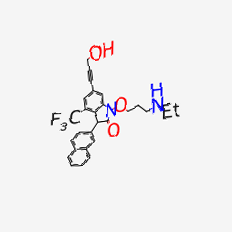 CCNCCCON1C(=O)C(c2ccc3ccccc3c2)c2c1cc(C#CCO)cc2C(F)(F)F